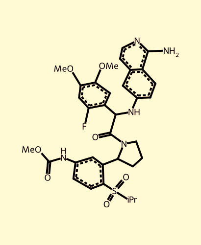 COC(=O)Nc1ccc(S(=O)(=O)C(C)C)c(C2CCCN2C(=O)C(Nc2ccc3c(N)nccc3c2)c2cc(OC)c(OC)cc2F)c1